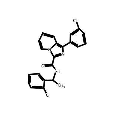 CC(NC(=O)c1nc(-c2cccc(Cl)c2)c2ccccn12)c1ccccc1Cl